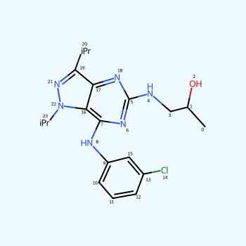 CC(O)CNc1nc(Nc2cccc(Cl)c2)c2c(n1)c(C(C)C)nn2C(C)C